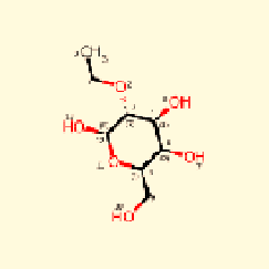 CCO[C@@H]1[C@@H](O)[C@@H](O)[C@@H](CO)O[C@H]1O